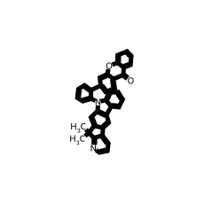 CC1(C)c2cc3c(cc2-c2cccnc21)c1ccccc1n3-c1ccccc1-c1ccc2c(=O)c3ccccc3oc2c1